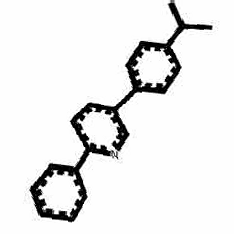 CC(C)c1ccc(-c2ccc(-c3ccccc3)nc2)cc1